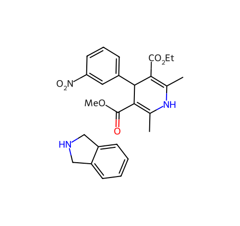 CCOC(=O)C1=C(C)NC(C)=C(C(=O)OC)C1c1cccc([N+](=O)[O-])c1.c1ccc2c(c1)CNC2